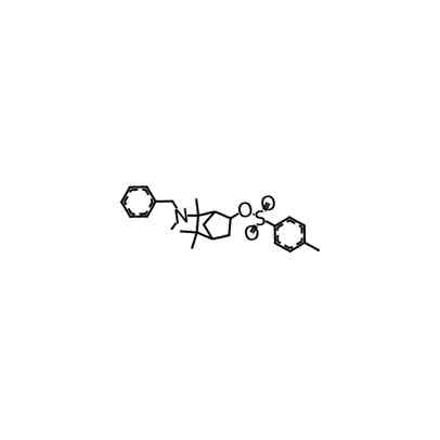 Cc1ccc(S(=O)(=O)OC2CC3CC2C(C)(N(C)Cc2ccccc2)C3(C)C)cc1